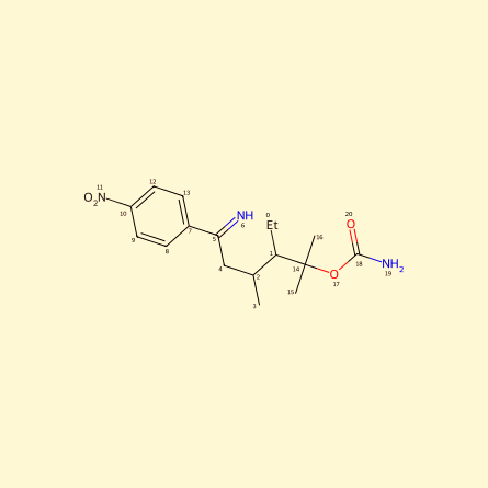 CCC(C(C)CC(=N)c1ccc([N+](=O)[O-])cc1)C(C)(C)OC(N)=O